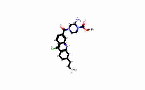 CCCOC(=O)N1CCN(C(=O)c2ccc3c(Cl)c4c(nc3c2)CC(CCNC)CC4)C[C@H]1N